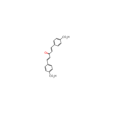 O=C(C=Cc1ccc(C(=O)O)cc1)C=Cc1ccc(C(=O)O)cc1